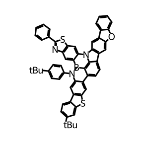 CC(C)(C)c1ccc(N2B3c4cc5nc(-c6ccccc6)sc5cc4-n4c5cc6c(cc5c5ccc(c3c54)-c3cc4sc5cc(C(C)(C)C)ccc5c4cc32)oc2ccccc26)cc1